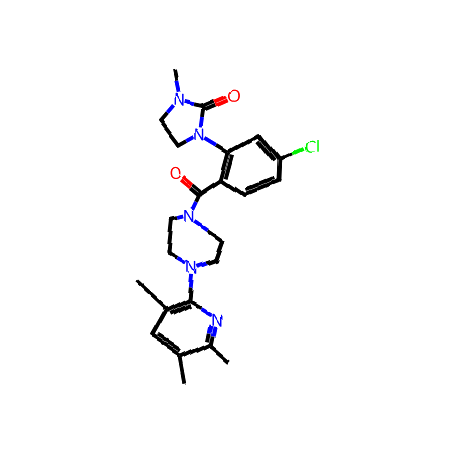 Cc1cc(C)c(N2CCN(C(=O)c3ccc(Cl)cc3N3CCN(C)C3=O)CC2)nc1C